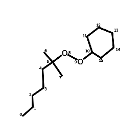 CCCCCC(C)(C)OOC1CCCCC1